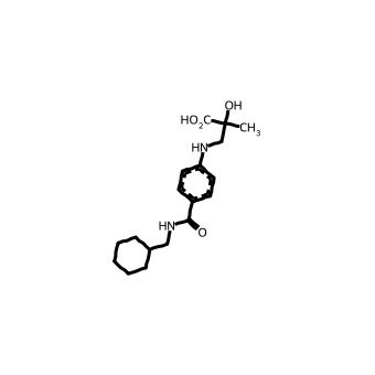 CC(O)(CNc1ccc(C(=O)NCC2CCCCC2)cc1)C(=O)O